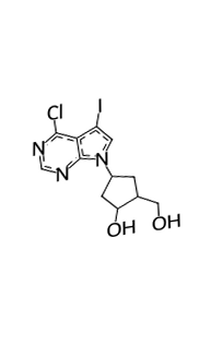 OCC1CC(n2cc(I)c3c(Cl)ncnc32)CC1O